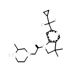 CC1CN(CC(=O)N2CC(C)(C)c3cnc(C(F)(F)C4CC4)cc32)CCN1